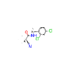 C[C@@H](NC(=O)[C@@H](C#N)C(C)(C)C)c1ccc(Cl)cc1Cl